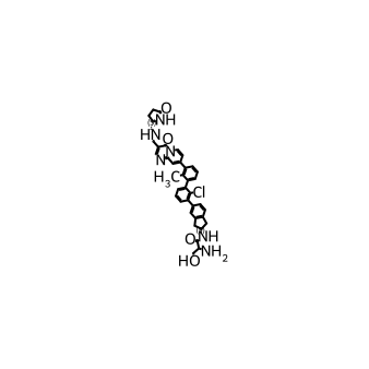 Cc1c(-c2ccn3c(=O)c(CNC[C@@H]4CCC(=O)N4)cnc3c2)cccc1-c1cccc(-c2ccc3c(c2)C[C@@H](NC(=O)C(N)CO)C3)c1Cl